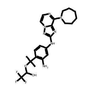 CC(C)(OC(O)C(F)(F)F)c1ccc(Nc2nc3c(N4CCCCCC4)nccn3n2)cc1N